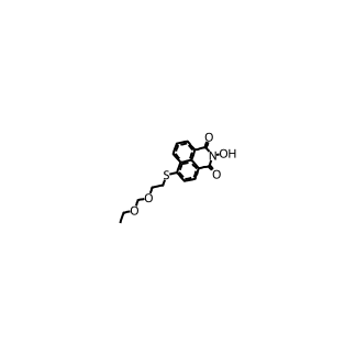 CCOCOCCSc1ccc2c3c(cccc13)C(=O)N(O)C2=O